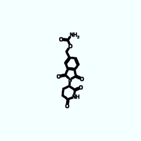 NC(=O)OCc1ccc2c(c1)C(=O)N(C1CCC(=O)NC1=O)C2=O